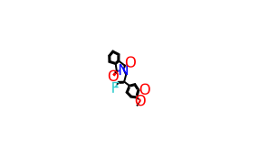 COc1ccc(C(=CF)CN2C(=O)c3ccccc3C2=O)cc1OC